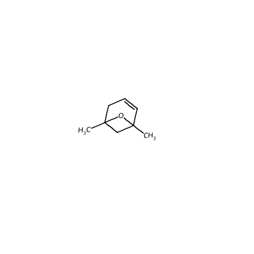 CC12C=CCC(C)(C1)O2